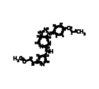 CCOc1ccc(-n2nnc3cnc(Nc4cnn(CCOC)c4)nc32)cc1